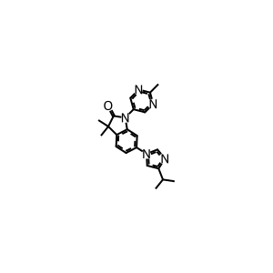 Cc1ncc(N2C(=O)C(C)(C)c3ccc(-n4cnc(C(C)C)c4)cc32)cn1